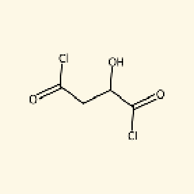 O=C(Cl)CC(O)C(=O)Cl